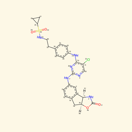 O=C1N[C@@H]2c3cc(Nc4ncc(Cl)c(Nc5ccc(CCNS(=O)(=O)C6CC6)cc5)n4)ccc3C[C@@H]2O1